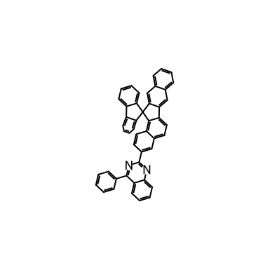 c1ccc(-c2nc(-c3ccc4c5c(ccc4c3)-c3cc4ccccc4cc3C53c4ccccc4-c4ccccc43)nc3ccccc23)cc1